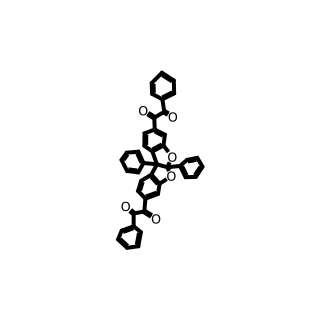 O=C(C(=O)c1ccc2c(c1)OC1(c3ccccc3)Oc3cc(C(=O)C(=O)c4ccccc4)ccc3C21c1ccccc1)c1ccccc1